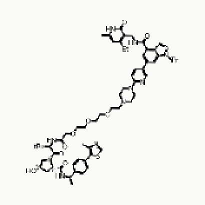 CCc1cc(C)[nH]c(=O)c1CNC(=O)c1cc(-c2ccc(N3CCN(CCOCCOCCOCC(=O)NC(C(=O)N4C[C@H](O)C[C@H]4C(=O)NC(C)c4ccc(-c5scnc5C)cc4)C(C)(C)C)CC3)nc2)cc2c1cnn2C(C)C